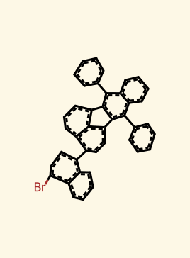 Brc1ccc(-c2ccc3c4c(cccc24)-c2c-3c(-c3ccccc3)c3ccccc3c2-c2ccccc2)c2ccccc12